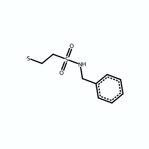 O=S(=O)(CC[S])NCc1ccccc1